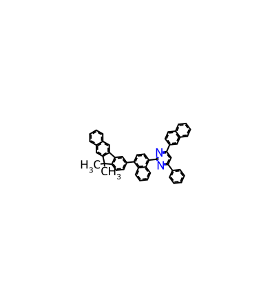 CC1(C)c2ccc(-c3ccc(-c4nc(-c5ccccc5)cc(-c5ccc6ccccc6c5)n4)c4ccccc34)cc2-c2cc3ccccc3cc21